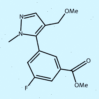 COCc1cnn(C)c1-c1cc(F)cc(C(=O)OC)c1